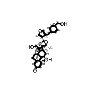 C[C@H]1[C@@H]2CCC3=CC(=O)C=C[C@]3(C)[C@H]2[C@@H](O)C[C@]1(C)[C@]1(C(=O)CO)O[C@H](c2cocc2Cc2ccc(CO)cc2)O[C@@H]1C